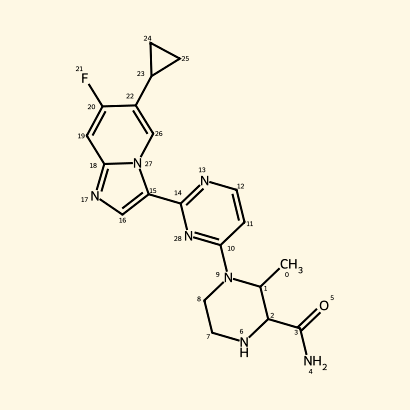 CC1C(C(N)=O)NCCN1c1ccnc(-c2cnc3cc(F)c(C4CC4)cn23)n1